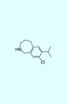 CC(C)c1cc2c(cc1Cl)CNCCC2